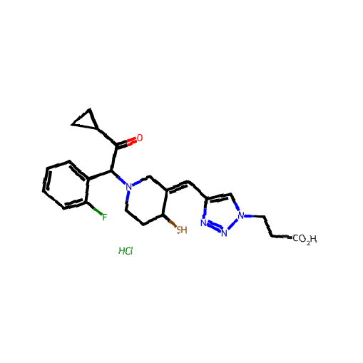 Cl.O=C(O)CCn1cc(C=C2CN(C(C(=O)C3CC3)c3ccccc3F)CCC2S)nn1